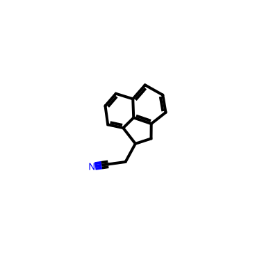 N#CCC1Cc2cccc3cccc1c23